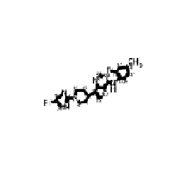 CCc1cnc(N2CCC(c3coc4c(Nc5ccc(C)cc5F)ncnc34)CC2)nc1